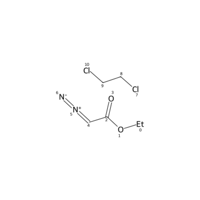 CCOC(=O)C=[N+]=[N-].ClCCCl